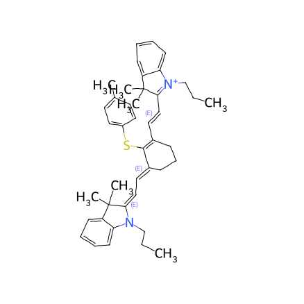 CCCN1/C(=C/C=C2\CCCC(/C=C/C3=[N+](CCC)c4ccccc4C3(C)C)=C2Sc2ccc(C)cc2)C(C)(C)c2ccccc21